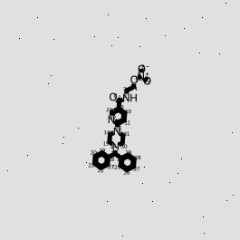 O=C(NCCO[N+](=O)[O-])c1ccc(N2CCN(C(c3ccccc3)c3ccccc3)CC2)nc1